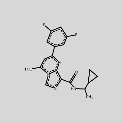 Cc1cc(-c2cc(F)cc(F)c2)nc2c(C(=O)NC(C)C3CC3)ncn12